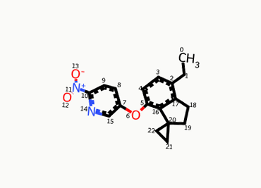 CCc1ccc(Oc2ccc([N+](=O)[O-])nc2)c2c1CCC21CC1